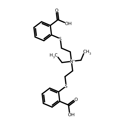 CC[N+](CC)(CCSc1ccccc1C(=O)O)CCSc1ccccc1C(=O)O